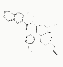 C=CCN1CC[C@@]2(c3cccc(OC)c3)C[C@@H](N(CC(C)C)C(=O)c3ccc4ccccc4c3)CC(OC)[C@@H]2C1